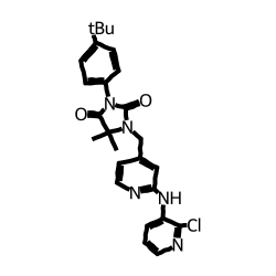 CC(C)(C)c1ccc(N2C(=O)N(Cc3ccnc(Nc4cccnc4Cl)c3)C(C)(C)C2=O)cc1